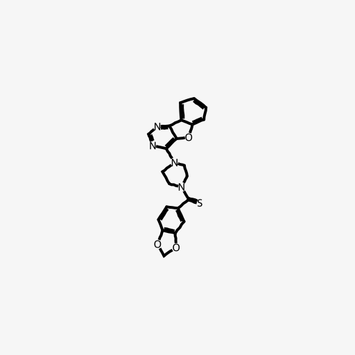 S=C(c1ccc2c(c1)OCO2)N1CCN(c2ncnc3c2oc2ccccc23)CC1